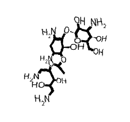 CC(OC(CN)[C@@H](O)C(O)CN)OC1C(N)CC(N)C(O[C@H]2OC(CO)[C@@H](O)C(N)C2O)[C@H]1O